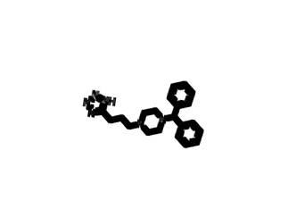 c1ccc(C(c2ccccc2)N2CCN(CCCc3nnn[nH]3)CC2)cc1